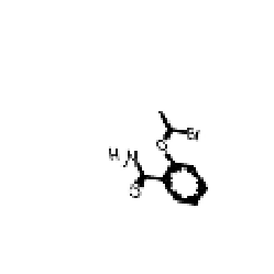 CC(Br)Oc1ccccc1C(N)=O